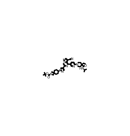 CCC1(C(=O)NC(C)C)CCN(c2ccc(-c3nc(-c4cnn(C5CCC6(CC5)CN(C(=O)OC(C)(C)C)C6)c4)cn4ncc(C#N)c34)cn2)CC1